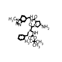 Cn1nnc2cc(CNC(=O)[C@@H]3C[C@H](N)CN3C(=O)[C@@H](CCc3ccccc3)NC(=O)OC(C)(C)C)ccc21